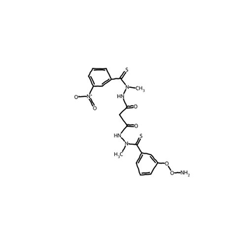 CN(NC(=O)CC(=O)NN(C)C(=S)c1cccc([N+](=O)[O-])c1)C(=S)c1cccc(OON)c1